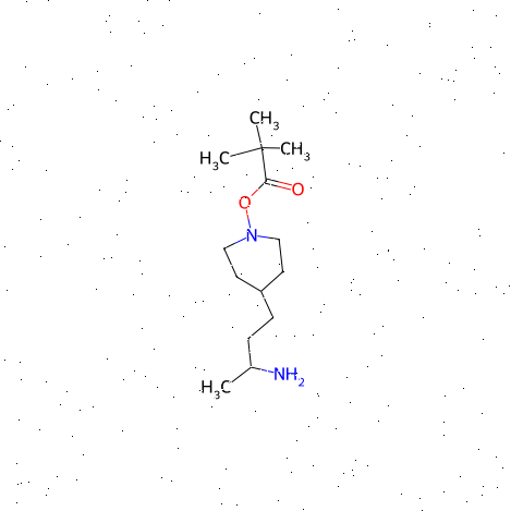 CC(N)CCC1CCN(OC(=O)C(C)(C)C)CC1